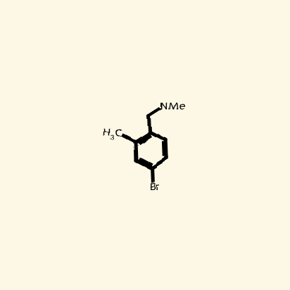 CNCc1ccc(Br)cc1C